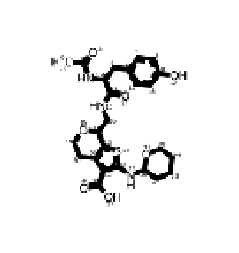 CC(=O)NC(Cc1ccc(O)cc1)C(=O)NCC1OCCc2c1sc(NC1CCCCO1)c2C(=O)O